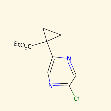 CCOC(=O)C1(c2cnc(Cl)cn2)CC1